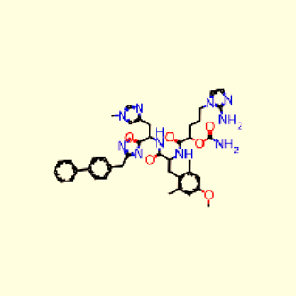 COc1cc(C)c(CC(NC(=O)C(CCCn2ccnc2N)OC(N)=O)C(=O)NC(Cc2cn(C)cn2)c2nc(Cc3ccc(-c4ccccc4)cc3)no2)c(C)c1